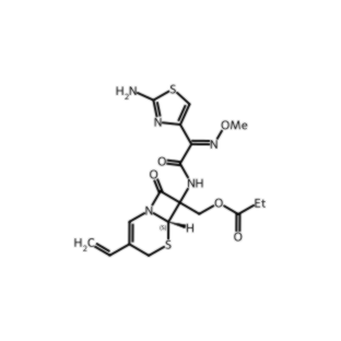 C=CC1=CN2C(=O)C(COC(=O)CC)(NC(=O)C(=NOC)c3csc(N)n3)[C@@H]2SC1